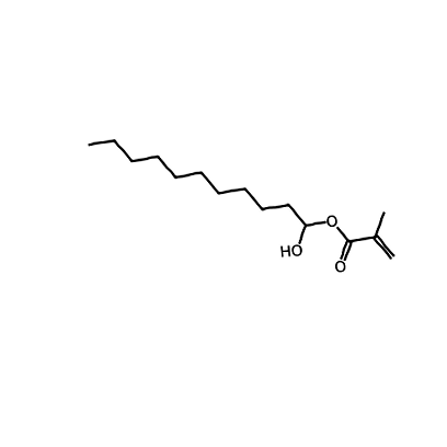 C=C(C)C(=O)OC(O)CCCCCCCCCC